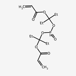 C=CC(=O)OC(CC)(CC)O[PH](=O)OC(CC)(CC)OC(=O)C=C